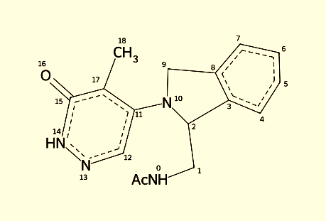 CC(=O)NCC1c2ccccc2CN1c1cn[nH]c(=O)c1C